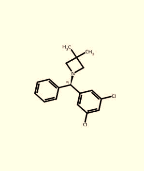 CC1(C)CN([C@H](c2ccccc2)c2cc(Cl)cc(Cl)c2)C1